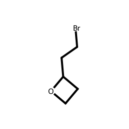 BrCCC1CCO1